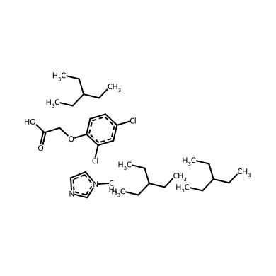 CCC(CC)CC.CCC(CC)CC.CCC(CC)CC.Cn1ccnc1.O=C(O)COc1ccc(Cl)cc1Cl